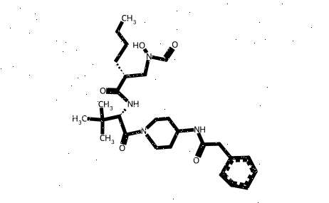 CCCC[C@H](CN(O)C=O)C(=O)N[C@H](C(=O)N1CCC(NC(=O)Cc2ccccc2)CC1)C(C)(C)C